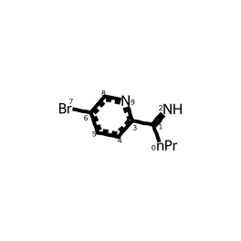 CCCC(=N)c1ccc(Br)cn1